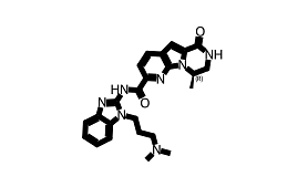 C[C@@H]1CNC(=O)c2cc3ccc(C(=O)Nc4nc5ccccc5n4CCCN(C)C)nc3n21